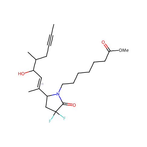 CC#CCC(C)C(O)/C=C(\C)C1CC(F)(F)C(=O)N1CCCCCCC(=O)OC